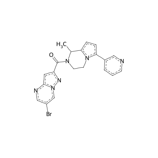 CC1c2ccc(-c3cccnc3)n2CCN1C(=O)c1cc2ncc(Br)cn2n1